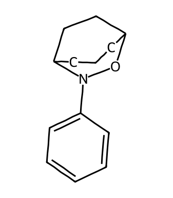 c1ccc(N2OC3CCCC2CC3)cc1